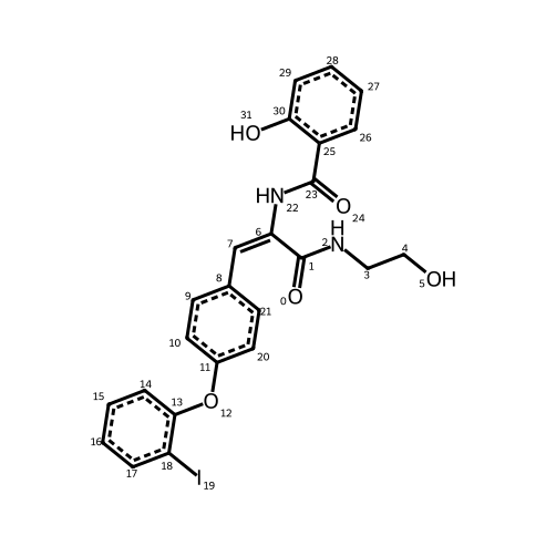 O=C(NCCO)/C(=C\c1ccc(Oc2ccccc2I)cc1)NC(=O)c1ccccc1O